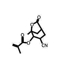 C=C(C)C(=O)OC1C(C#N)CC2CC1(C)OC2=O